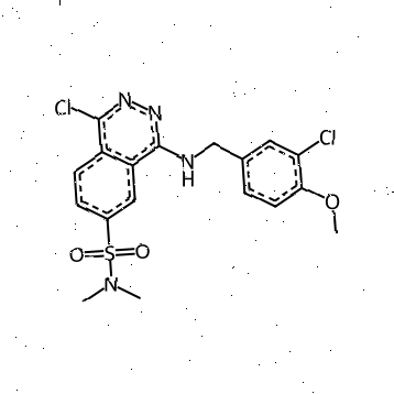 COc1ccc(CNc2nnc(Cl)c3ccc(S(=O)(=O)N(C)C)cc23)cc1Cl